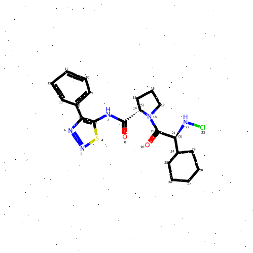 O=C(Nc1snnc1-c1ccccc1)[C@@H]1CCCN1C(=O)[C@@H](NCl)C1CCCCC1